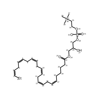 CC/C=C\C/C=C\C/C=C\C/C=C\C/C=C\C/C=C\CCCCC(=O)OCC(O)COP(=O)([O-])OCC[N+](C)(C)C